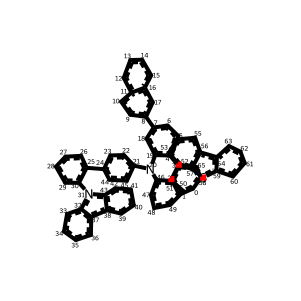 c1ccc(-c2ccc(-c3ccc4ccccc4c3)cc2N(c2ccc(-c3ccccc3-n3c4ccccc4c4ccccc43)cc2)c2ccccc2-c2cccc3c2sc2ccccc23)cc1